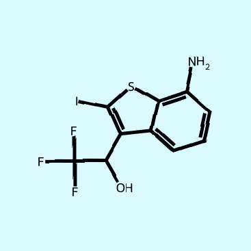 Nc1cccc2c(C(O)C(F)(F)F)c(I)sc12